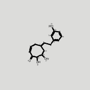 O=C1C=CCC(CCc2cccc(O)c2)CC(O)C1O